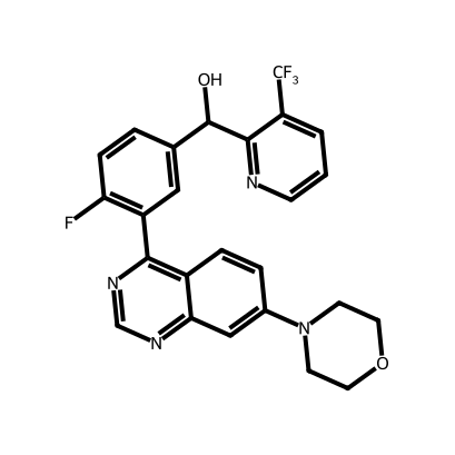 OC(c1ccc(F)c(-c2ncnc3cc(N4CCOCC4)ccc23)c1)c1ncccc1C(F)(F)F